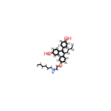 CCCCCCN(C)CCOc1ccc(C(CCCC)=C(c2ccc(O)cc2)c2ccc(O)cc2)cc1